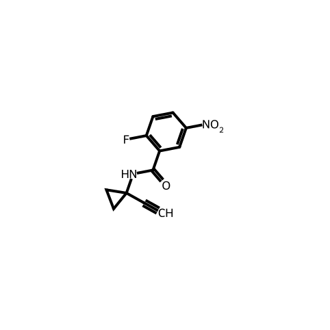 C#CC1(NC(=O)c2cc([N+](=O)[O-])ccc2F)CC1